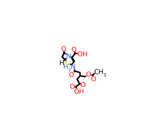 CC(=O)OCC(CC(N)=O)CC(=O)C(=O)O.O=C(O)C1=CCS[C@H]2CC(=O)N12